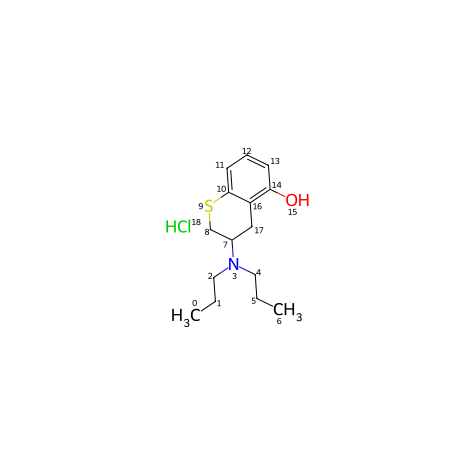 CCCN(CCC)C1CSc2cccc(O)c2C1.Cl